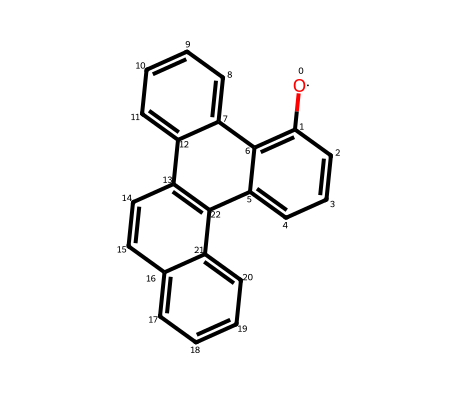 [O]c1cccc2c1c1ccccc1c1ccc3ccccc3c12